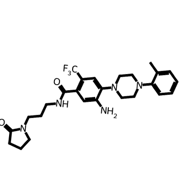 Cc1ccccc1N1CCN(c2cc(C(F)(F)F)c(C(=O)NCCCN3CCCC3=O)cc2N)CC1